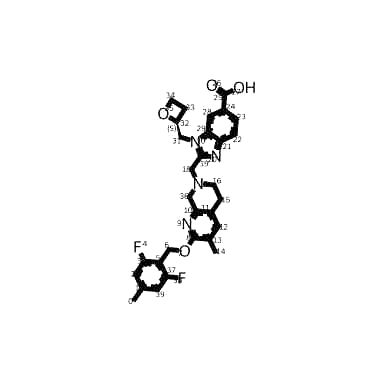 Cc1cc(F)c(COc2nc3c(cc2C)CCN(Cc2nc4ccc(C(=O)O)cc4n2C[C@@H]2CCO2)C3)c(F)c1